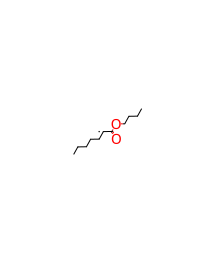 CCCCC[CH]C(=O)OCCCC